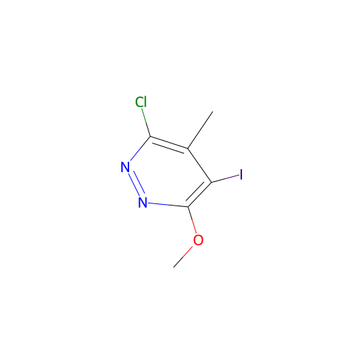 COc1nnc(Cl)c(C)c1I